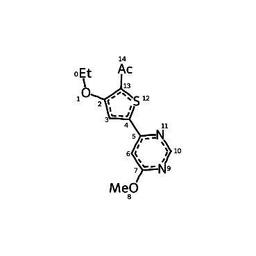 CCOc1cc(-c2cc(OC)ncn2)sc1C(C)=O